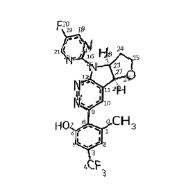 Cc1cc(C(F)(F)F)cc(O)c1-c1cc2c(nn1)N(c1ncc(F)cn1)[C@H]1CCO[C@@H]21